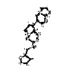 c1cn2cc(-c3ccn4nc(NCC5CCCO5)ncc34)cnc2n1